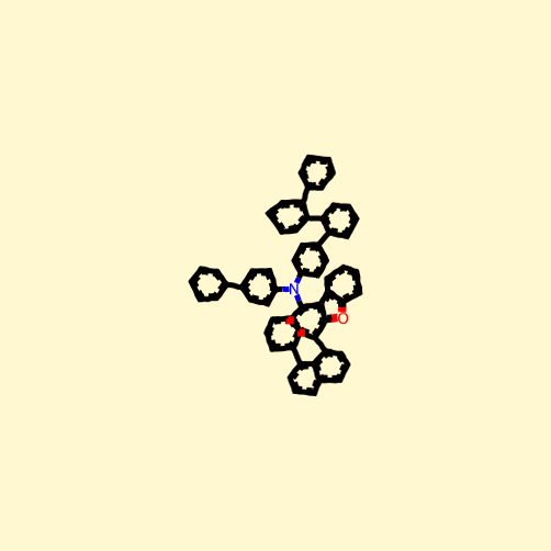 c1ccc(-c2ccc(N(c3ccc(-c4ccccc4-c4ccccc4-c4ccccc4)cc3)c3ccc(-c4cccc5cccc(-c6ccccc6)c45)c4oc5ccccc5c34)cc2)cc1